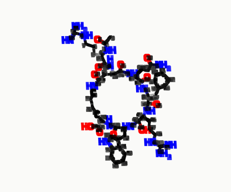 CC(=O)N[C@@H](CCCNC(=N)N)C(=O)N[C@H]1CC(=O)NCCCC[C@@H](C(=O)O)NC(=O)[C@H](Cc2c[nH]c3ccccc23)NC(O)[C@H](CCCNC(=N)N)NC(=O)[C@@H](Cc2ccccc2)NC(=O)[C@H](CCC(N)=O)NC1=O